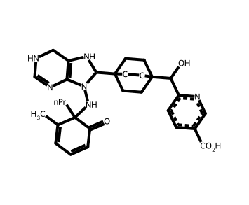 CCCC1(NN2C3=C(CNC=N3)NC2C23CCC(C(O)c4ccc(C(=O)O)cn4)(CC2)CC3)C(=O)C=CC=C1C